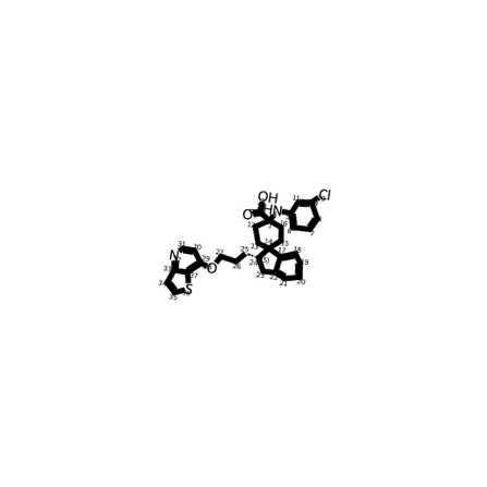 O=C(O)C1(Nc2cccc(Cl)c2)CCC2(CC1)c1ccccc1C[C@@H]2CCCOc1ccnc2ccsc12